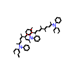 C=C/C=C(\C=C/C)N(/C(C)=C/C=C(/C)C(=C/C=C(C)/C(C)=C/C=C(C)/C(C)=C/C=C(\C)N(C(/C=C\C)=C/C)c1ccccc1)/C=C(/C)N(c1ccccc1)c1cccc(C)c1)c1ccccc1